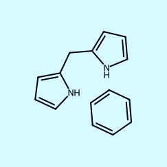 c1c[nH]c(Cc2ccc[nH]2)c1.c1ccccc1